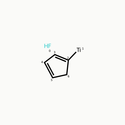 F.[Ti][C]1=CC=CC1